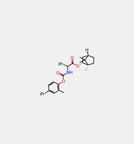 Cc1cc(C(C)C)ccc1OC(=O)NC(C(=O)O[C@@H]1C[C@@H]2CC[C@]1(C)C2(C)C)C(C)C